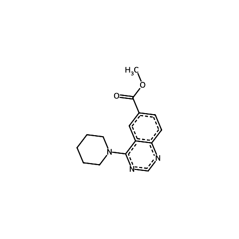 COC(=O)c1ccc2ncnc(N3CCCCC3)c2c1